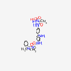 C[C@@H](NC(=O)O)C(=O)Nc1ccc(-c2cc3cc(NC(=O)[C@@H]4CCCN4C(=O)[C@@H](c4ccccc4)N(C)C)ccc3[nH]2)cc1